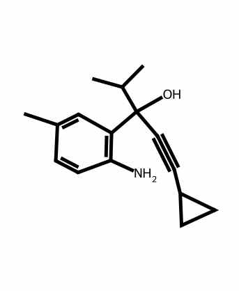 Cc1ccc(N)c(C(O)(C#CC2CC2)C(C)C)c1